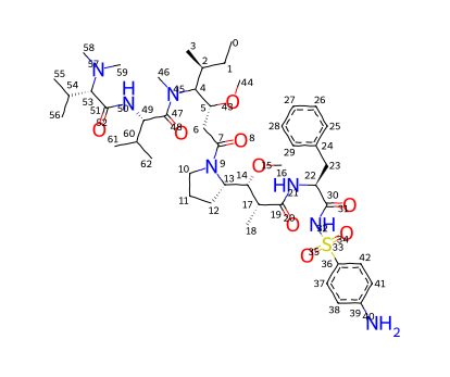 CC[C@H](C)C([C@@H](CC(=O)N1CCC[C@H]1[C@H](OC)[C@@H](C)C(=O)N[C@@H](Cc1ccccc1)C(=O)NS(=O)(=O)c1ccc(N)cc1)OC)N(C)C(=O)[C@@H](NC(=O)[C@H](C(C)C)N(C)C)C(C)C